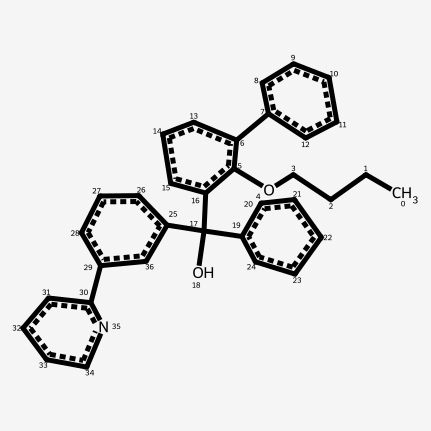 CCCCOc1c(-c2ccccc2)cccc1C(O)(c1ccccc1)c1cccc(-c2ccccn2)c1